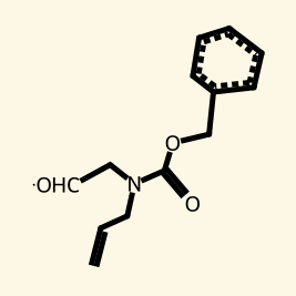 C=CCN(C[C]=O)C(=O)OCc1ccccc1